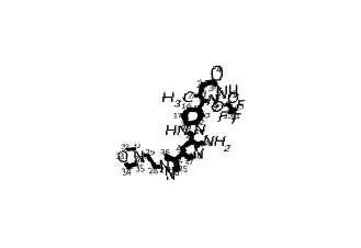 CC1CC(=O)NN(OC(=O)C(F)(F)F)C1c1ccc2[nH]c(-c3cc(-c4cnn(CCN5CCOCC5)c4)cnc3N)nc2c1